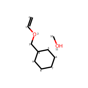 C=COCC1CCCCC1.CO